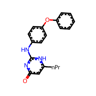 CCCc1cc(=O)nc(Nc2ccc(Oc3ccccc3)cc2)[nH]1